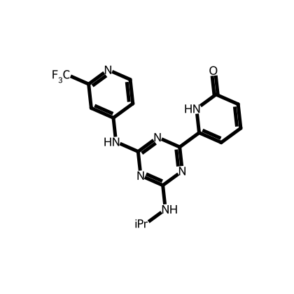 CC(C)Nc1nc(Nc2ccnc(C(F)(F)F)c2)nc(-c2cccc(=O)[nH]2)n1